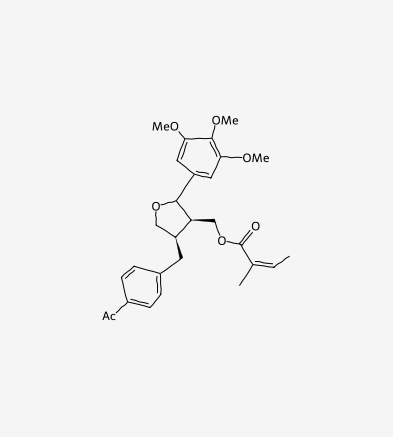 C/C=C(/C)C(=O)OC[C@@H]1C(c2cc(OC)c(OC)c(OC)c2)OC[C@@H]1Cc1ccc(C(C)=O)cc1